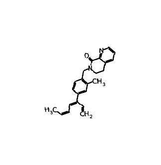 C=C/C(=C\C=C/C)c1ccc(CN2CCc3cccnc3C2=O)c(C)c1